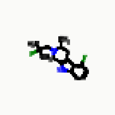 CC1Cc2c([nH]c3cccc(F)c23)CN1CC(C)(C)F